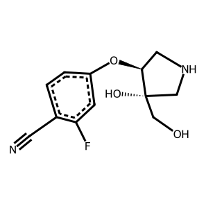 N#Cc1ccc(O[C@H]2CNC[C@@]2(O)CO)cc1F